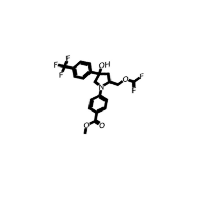 COC(=O)c1ccc(N2CC(O)(c3ccc(C(F)(F)F)cc3)CC2COC(F)F)cc1